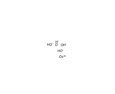 [OH-].[OH-].[OH-].[OH-].[Os+4]